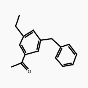 CCc1cc(Cc2ccccc2)cc(C(C)=O)c1